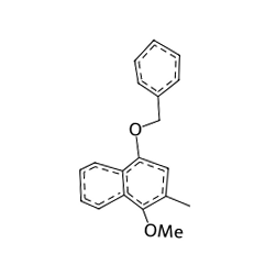 COc1c(C)cc(OCc2ccccc2)c2ccccc12